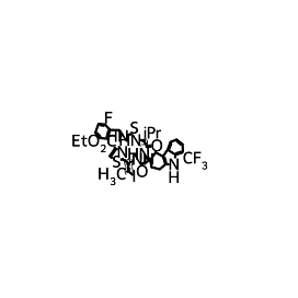 CCOC(=O)c1csc([C@@H](NC(=O)[C@@]2(NC(=O)[C@@H](NC(=S)NCc3ccccc3F)C(C)C)CCc3[nH]c4c(C(F)(F)F)cccc4c3C2)[C@@H](C)I)n1